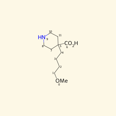 COCCCCC1(C(=O)O)CCNCC1